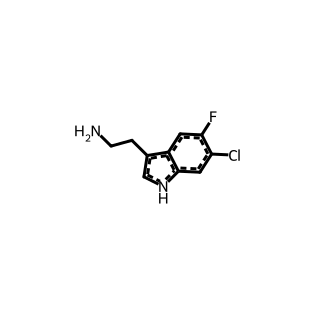 NCCc1c[nH]c2cc(Cl)c(F)cc12